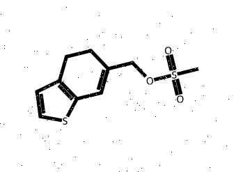 CS(=O)(=O)OCC1=Cc2sccc2CC1